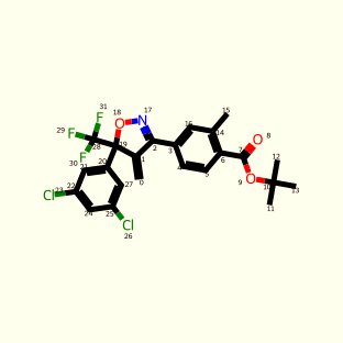 C=C1C(c2ccc(C(=O)OC(C)(C)C)c(C)c2)=NOC1(c1cc(Cl)cc(Cl)c1)C(F)(F)F